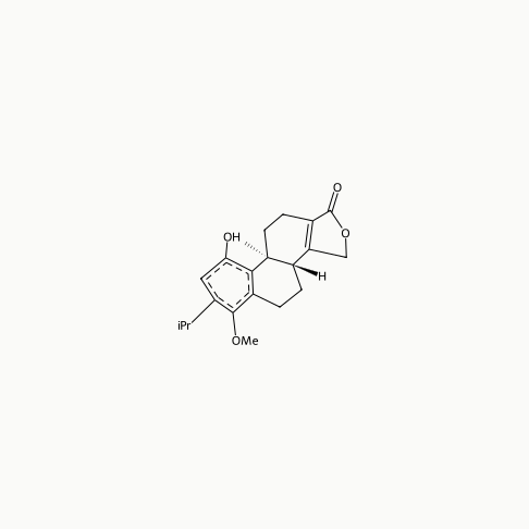 COc1c(C(C)C)cc(O)c2c1CC[C@H]1C3=C(CC[C@]21C)C(=O)OC3